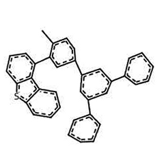 Cc1ccc(-c2cc(-c3ccccc3)cc(-c3ccccc3)c2)cc1-c1cccc2sc3ccccc3c12